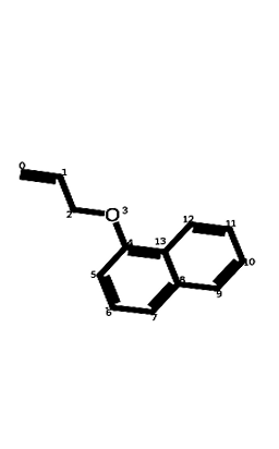 C=CCOc1c[c]cc2ccccc12